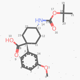 COc1cccc([C@]2(C(=O)O)CC[C@@H](NC(=O)OC(C)(C)C)CC2)c1